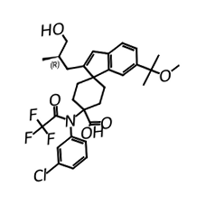 COC(C)(C)c1ccc2c(c1)C1(CCC(C(=O)O)(N(C(=O)C(F)(F)F)c3cccc(Cl)c3)CC1)C(C[C@@H](C)CO)=C2